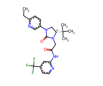 CCc1ccc(N2C[C@H](C(C)(C)C)N(CC(=O)Nc3cc(C(F)(F)F)ccn3)C2=O)cn1